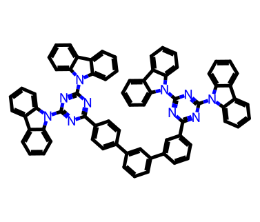 c1cc(-c2ccc(-c3nc(-n4c5ccccc5c5ccccc54)nc(-n4c5ccccc5c5ccccc54)n3)cc2)cc(-c2cccc(-c3nc(-n4c5ccccc5c5ccccc54)nc(-n4c5ccccc5c5ccccc54)n3)c2)c1